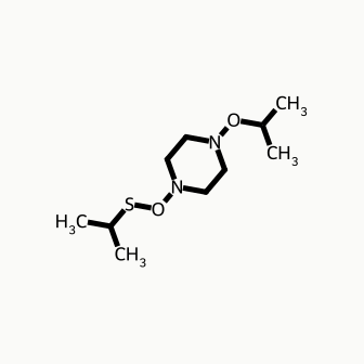 CC(C)ON1CCN(OSC(C)C)CC1